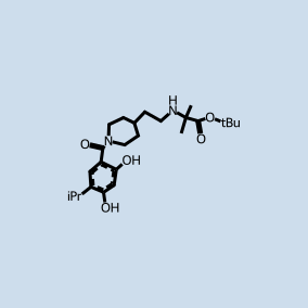 CC(C)c1cc(C(=O)N2CCC(CCNC(C)(C)C(=O)OC(C)(C)C)CC2)c(O)cc1O